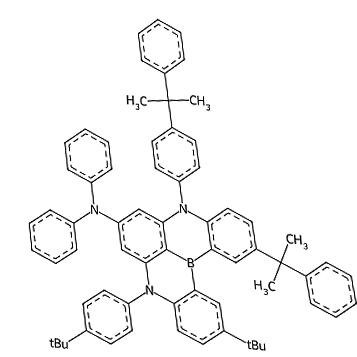 CC(C)(C)c1ccc(N2c3ccc(C(C)(C)C)cc3B3c4cc(C(C)(C)c5ccccc5)ccc4N(c4ccc(C(C)(C)c5ccccc5)cc4)c4cc(N(c5ccccc5)c5ccccc5)cc2c43)cc1